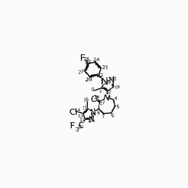 Cc1c(N2CCCCC(n3nc(C(F)(F)F)c(Cl)c3C)C2=O)cnn1-c1ccc(F)cc1